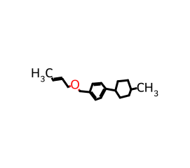 CC=CCOCc1ccc(C2CCC(C)CC2)cc1